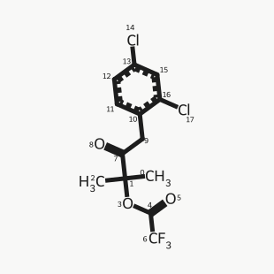 CC(C)(OC(=O)C(F)(F)F)C(=O)Cc1ccc(Cl)cc1Cl